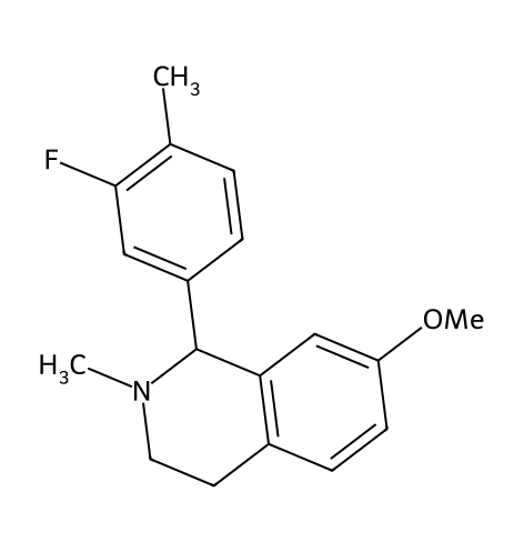 COc1ccc2c(c1)C(c1ccc(C)c(F)c1)N(C)CC2